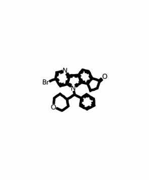 O=C1CCc2c1ccc1c3ncc(Br)cc3n(C(c3ccccc3)C3CCOCC3)c21